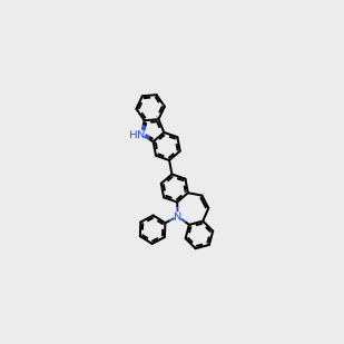 C1=Cc2cc(-c3ccc4c(c3)[nH]c3ccccc34)ccc2N(c2ccccc2)c2ccccc21